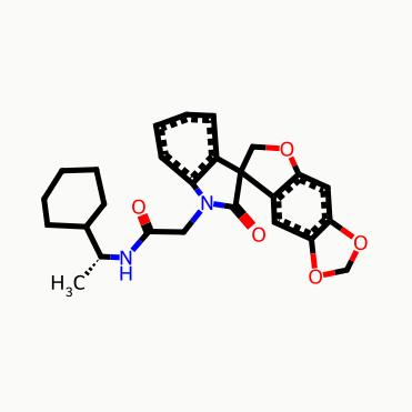 C[C@@H](NC(=O)CN1C(=O)C2(COc3cc4c(cc32)OCO4)c2ccccc21)C1CCCCC1